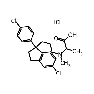 CC(C(=O)O)N(C)CCCC1(c2ccc(Cl)cc2)CCc2cc(Cl)ccc21.Cl